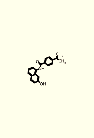 C=C(C)c1ccc(C(=O)Nc2cccc3ccc(O)cc23)cc1